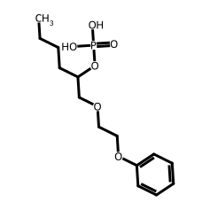 CCCCC(COCCOc1ccccc1)OP(=O)(O)O